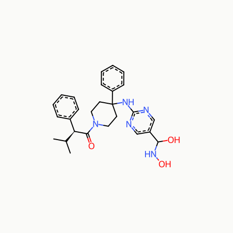 CC(C)[C@H](C(=O)N1CCC(Nc2ncc(C(O)NO)cn2)(c2ccccc2)CC1)c1ccccc1